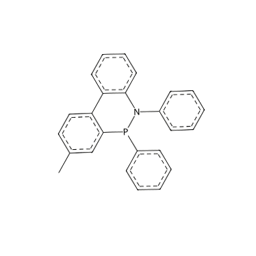 Cc1ccc2c(c1)P(c1ccccc1)N(c1ccccc1)c1ccccc1-2